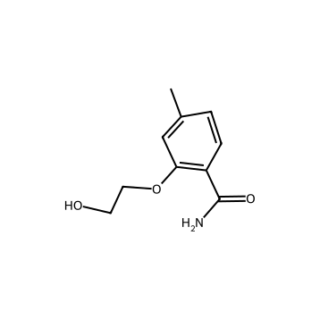 Cc1ccc(C(N)=O)c(OCCO)c1